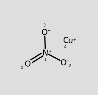 O=[N+]([O-])[O-].[Cu+]